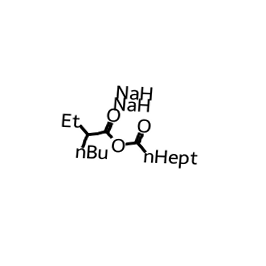 CCCCCCCC(=O)OC(=O)C(CC)CCCC.[NaH].[NaH]